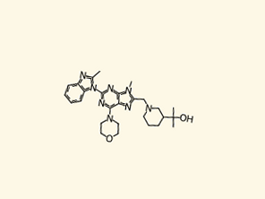 Cc1nc2ccccc2n1-c1nc(N2CCOCC2)c2nc(CN3CCCC(C(C)(C)O)C3)n(C)c2n1